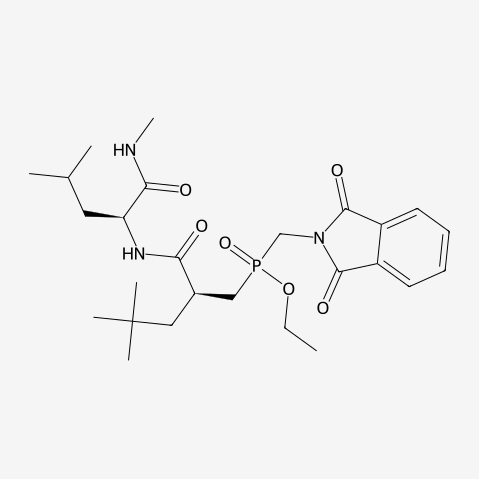 CCOP(=O)(C[C@@H](CC(C)(C)C)C(=O)N[C@@H](CC(C)C)C(=O)NC)CN1C(=O)c2ccccc2C1=O